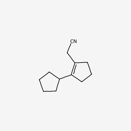 N#CCC1=C(C2CCCC2)CCC1